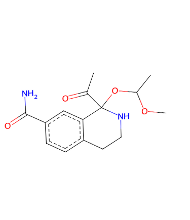 COC(C)OC1(C(C)=O)NCCc2ccc(C(N)=O)cc21